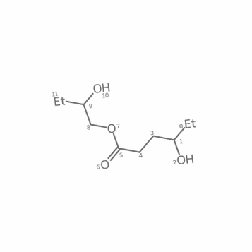 CCC(O)CCC(=O)OCC(O)CC